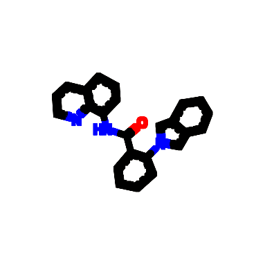 O=C(Nc1cccc2cccnc12)c1ccccc1-n1cc2ccccc2c1